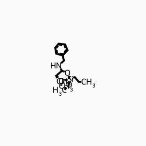 C=CC(NCc1ccccc1)O[Si](CCC)(OC)OC